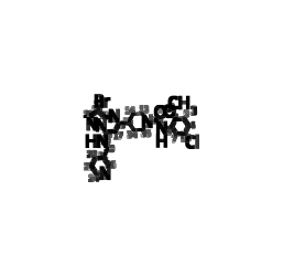 COc1ccc(Cl)cc1NC(=O)N1CCC(c2cc(NCc3cccnc3)n3ncc(Br)c3n2)CC1